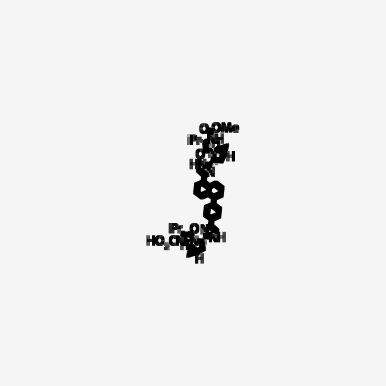 COC(=O)N[C@H](C(=O)N1[C@@H]2C[C@H]2C[C@H]1c1nc(-c2cccc3c(-c4ccc(-c5c[nH]c([C@@H]6C[C@H]7C[C@H]7N6C(=O)[C@@H](NC(=O)O)C(C)C)n5)cc4)cccc23)c[nH]1)C(C)C